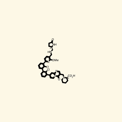 COc1nc(-c2cccc(-c3cccc(-c4ccn5c(=O)c(CN6CCCC[C@@H]6C(=O)O)cnc5c4)c3Cl)c2Cl)ccc1CNC[C@H]1CCC(=O)N1